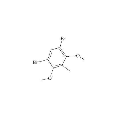 COc1c(Br)cc(Br)c(OC)c1C